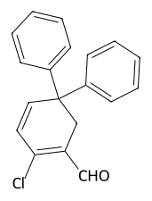 O=CC1=C(Cl)C=CC(c2ccccc2)(c2ccccc2)C1